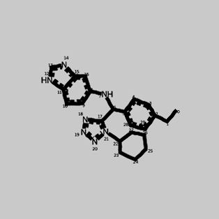 CCc1ccc(C(Nc2ccc3[nH]cnc3c2)c2nnnn2C2CCCCC2)cc1